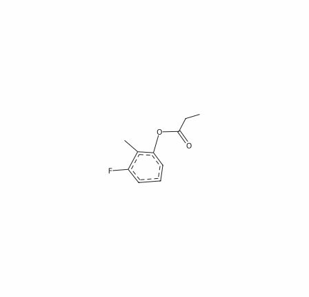 CCC(=O)Oc1cccc(F)c1C